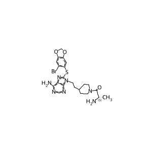 C[C@H](N)C(=O)N1CCC(CCn2c(Sc3cc4c(cc3Br)OCO4)nc3c(N)ncnc32)CC1